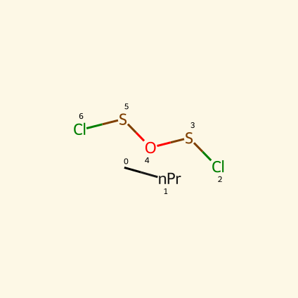 CCCC.ClSOSCl